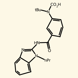 CCCn1c(NC(=O)c2cccc(N(C(=O)O)C(C)(C)C)c2)nc2ccccc21